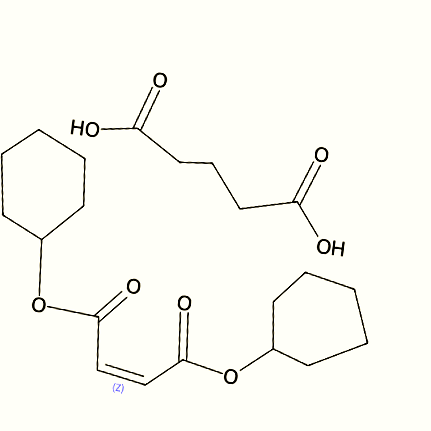 O=C(/C=C\C(=O)OC1CCCCC1)OC1CCCCC1.O=C(O)CCCC(=O)O